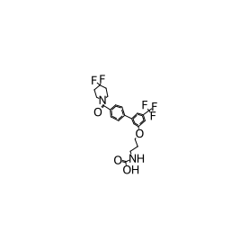 O=C(O)NCCCOc1cc(-c2ccc(C(=O)N3CCC(F)(F)CC3)cc2)cc(C(F)(F)F)c1